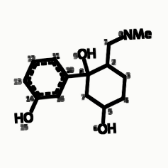 CNCC1CCC(O)CC1(O)c1cccc(O)c1